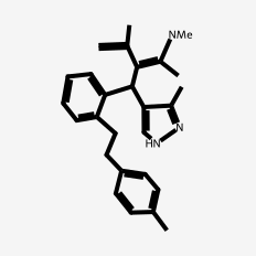 C=C(C)/C(=C(/C)NC)C(c1ccccc1CCc1ccc(C)cc1)c1c[nH]nc1C